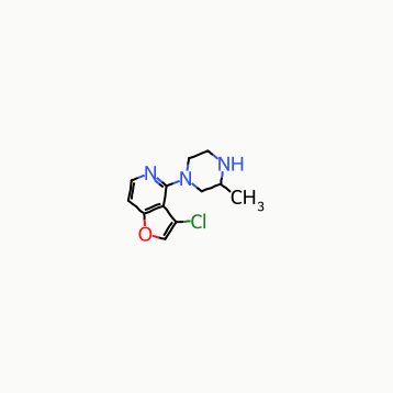 CC1CN(c2nccc3occ(Cl)c23)CCN1